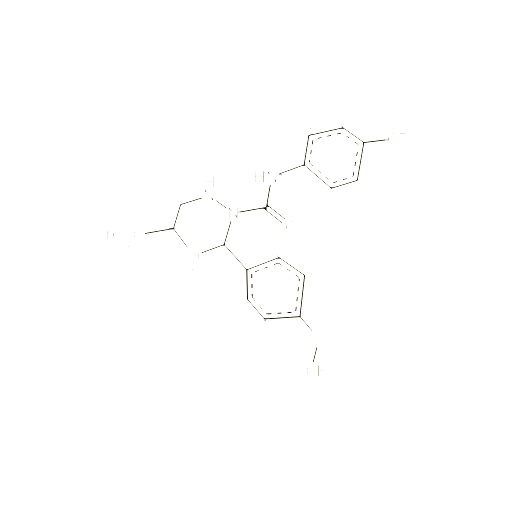 CCOC(=O)C1CNN(C(=O)Nc2ccc(C(F)(F)F)cc2)C(c2ccc(OC(F)(F)F)cc2)O1